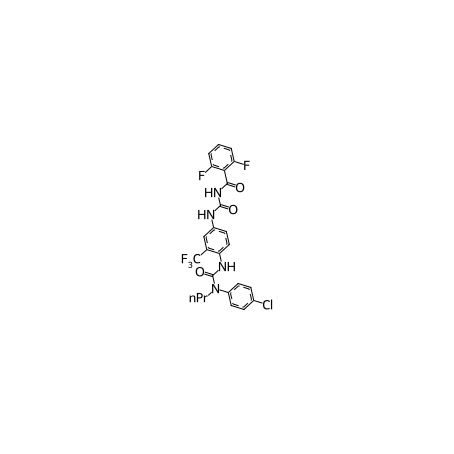 CCCN(C(=O)Nc1ccc(NC(=O)NC(=O)c2c(F)cccc2F)cc1C(F)(F)F)c1ccc(Cl)cc1